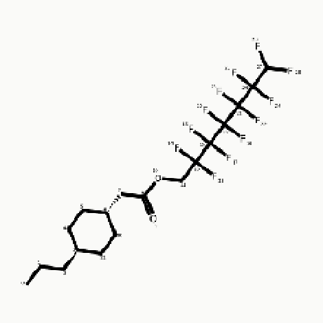 CCC[C@H]1CC[C@H](CC(=O)OCC(F)(F)C(F)(F)C(F)(F)C(F)(F)C(F)(F)C(F)F)CC1